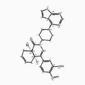 COc1ccc(C2=NN(C3CCN(c4ncnc5sccc45)CC3)C(=O)[C@@H]3CC=CC[C@H]23)cc1OC